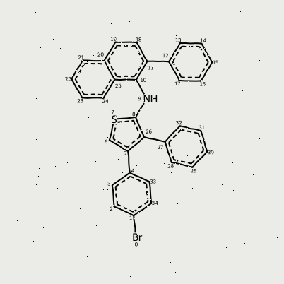 Brc1ccc(-c2csc(Nc3c(-c4ccccc4)ccc4ccccc34)c2-c2ccccc2)cc1